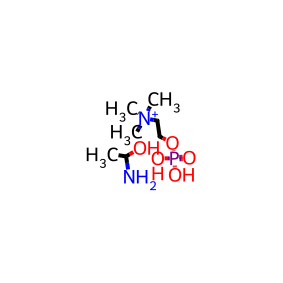 CC(N)O.C[N+](C)(C)CCOP(=O)(O)O